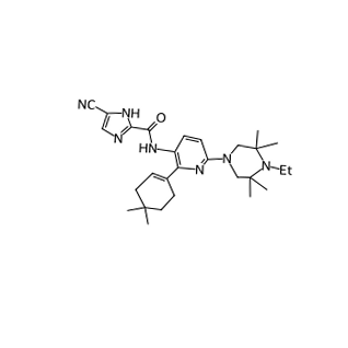 CCN1C(C)(C)CN(c2ccc(NC(=O)c3ncc(C#N)[nH]3)c(C3=CCC(C)(C)CC3)n2)CC1(C)C